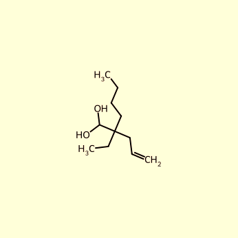 C=CCC(CC)(CCCC)C(O)O